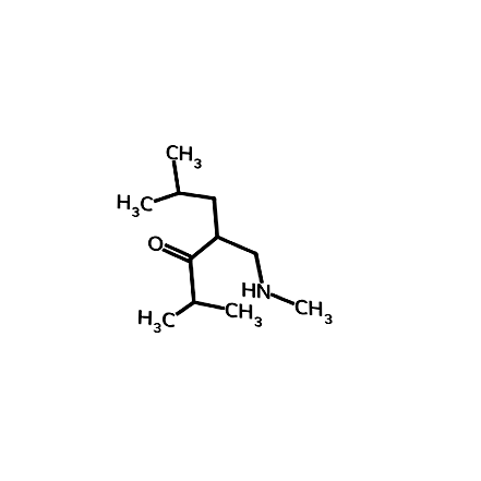 CNCC(CC(C)C)C(=O)C(C)C